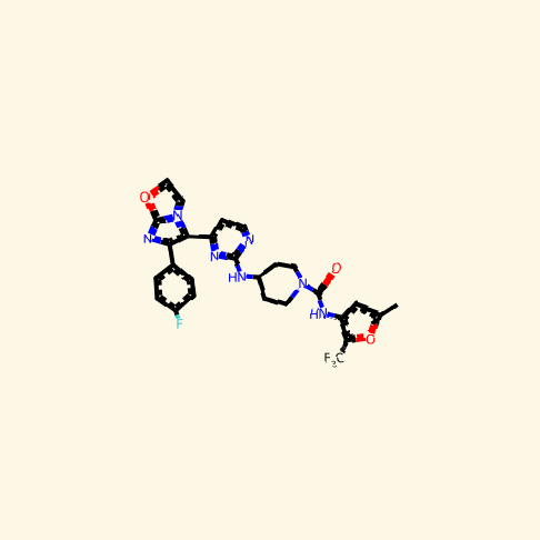 Cc1cc(NC(=O)N2CCC(Nc3nccc(-c4c(-c5ccc(F)cc5)nc5occn45)n3)CC2)c(C(F)(F)F)o1